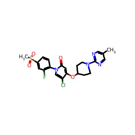 Cc1cnc(N2CCC(Oc3cc(=O)n(-c4ccc(S(C)(=O)=O)cc4F)cc3Cl)CC2)nc1